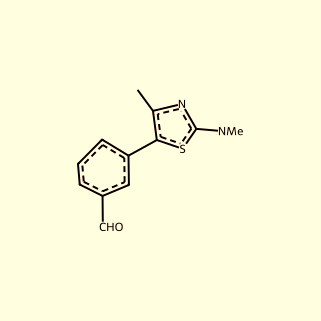 CNc1nc(C)c(-c2cccc(C=O)c2)s1